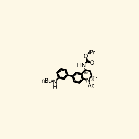 CCCCNc1cccc(-c2ccc3c(c2)[C@H](NC(=O)OC(C)C)C[C@H](C)N3C(C)=O)c1